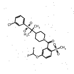 CC(C)(C1CCN(C(=O)c2cc(OC(F)F)ccc2S(C)(=O)=O)CC1)S(=O)(=O)c1cccc(Cl)c1